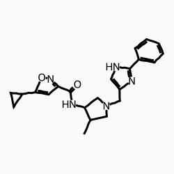 CC1CN(Cc2c[nH]c(-c3ccccc3)n2)CC1NC(=O)c1cc(C2CC2)on1